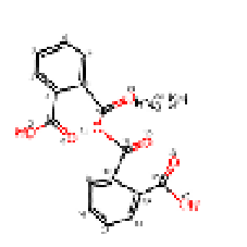 O=C(O)c1ccccc1C(=O)OC(=O)c1ccccc1C(=O)O.[KH].[NaH]